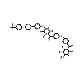 CCC(C)(C)c1ccc(C2CCC(c3ccc(Oc4c(F)c(F)c(C(=O)c5ccc(Oc6ccc(C(=O)c7c(F)c(F)c(C(C)(C)C)c(F)c7F)cc6)cc5)c(F)c4F)cc3)CC2)cc1